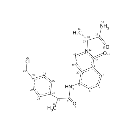 CC(C(=O)Nc1cccc2c(=O)n([C@H](C)C(N)=O)ccc12)c1ccc(CCl)cc1